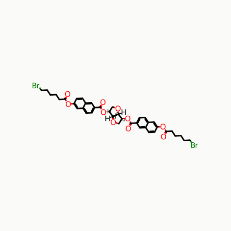 O=C(CCCCCBr)Oc1ccc2cc(C(=O)O[C@H]3CO[C@H]4[C@@H]3OC[C@H]4OC(=O)c3ccc4cc(OC(=O)CCCCCBr)ccc4c3)ccc2c1